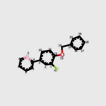 Fc1cc(-c2bcccc2)ccc1OCc1ccccc1